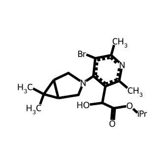 Cc1nc(C)c(C(O)C(=O)OC(C)C)c(N2CC3C(C2)C3(C)C)c1Br